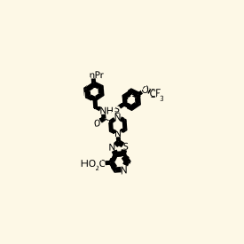 CCCc1ccc(CNC(=O)[C@H]2CN(c3nc4c(C(=O)O)cncc4s3)CCN2Sc2ccc(OC(F)(F)F)cc2)cc1